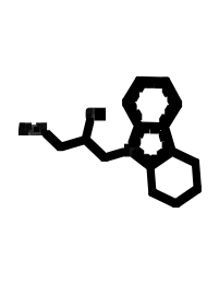 CNCC(O)Cn1c2c(c3ccccc31)CCCC2